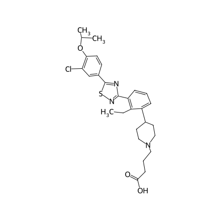 CCc1c(-c2nsc(-c3ccc(OC(C)C)c(Cl)c3)n2)cccc1C1CCN(CCCC(=O)O)CC1